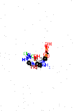 Nc1ccc2c(O)c(/N=N/c3cc(Nc4nc(Cl)nc(Cl)n4)ccc3S(=O)(=O)O)c(SOOO)cc2c1/N=N/c1ccc(S(=O)(=O)CCOSOOO)cc1S(=O)(=O)O